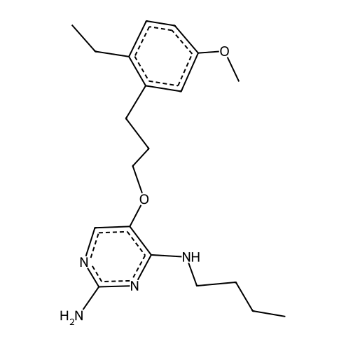 CCCCNc1nc(N)ncc1OCCCc1cc(OC)ccc1CC